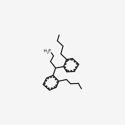 CCCCc1ccccc1C(CCP)c1ccccc1CCCC